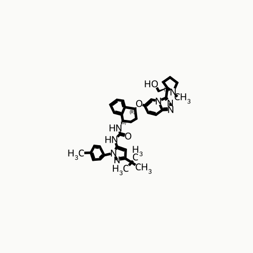 Cc1ccc(-n2nc(C(C)(C)C)cc2NC(=O)N[C@H]2CC[C@@H](Oc3ccc4nnc([C@]5(CO)CCCN5C)n4c3)c3ccccc32)cc1